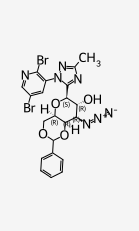 Cc1nc([C@@H]2O[C@@H]3COC(c4ccccc4)O[C@@H]3[C@H](N=[N+]=[N-])[C@H]2O)n(-c2cc(Br)cnc2Br)n1